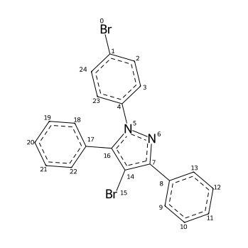 Brc1ccc(-n2nc(-c3ccccc3)c(Br)c2-c2ccccc2)cc1